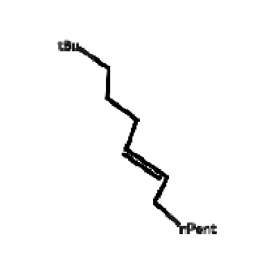 CCCCCCC=CCCCC(C)(C)C